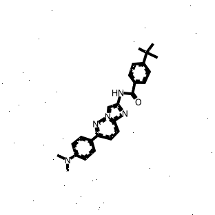 CN(C)c1ccc(-c2ccc3nc(NC(=O)c4ccc(C(C)(C)C)cc4)cn3n2)cc1